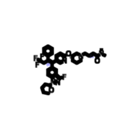 CN(C)C(=O)/C=C/CN1CCC[C@H](Oc2ccc(/C(=C(/CC(F)(F)F)c3ccccc3)c3ccc4c(c3)c(F)nn4C3CCCCO3)cn2)C1